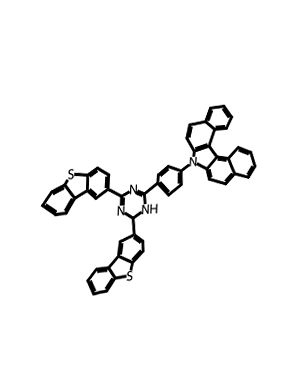 c1ccc2c(c1)ccc1c2c2c3ccccc3ccc2n1-c1ccc(C2=NC(c3ccc4sc5ccccc5c4c3)=NC(c3ccc4sc5ccccc5c4c3)N2)cc1